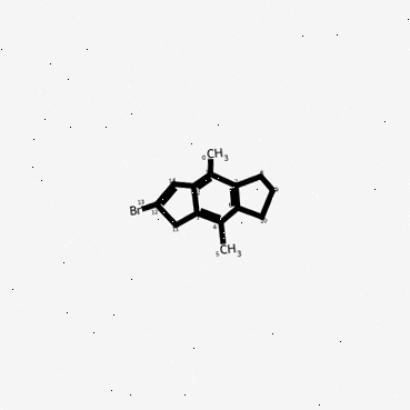 Cc1c2c(c(C)c3c1CCC3)CC(Br)=C2